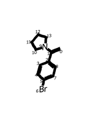 C=C(c1ccc(Br)cc1)N1CCCC1